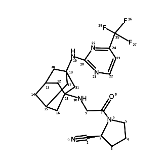 N#C[C@@H]1CCCN1C(=O)CNC12CC3CC(C1)CC(Nc1nccc(C(F)(F)F)n1)(C3)C2